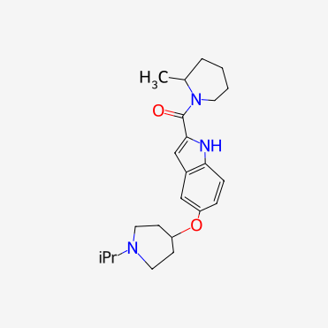 CC(C)N1CCC(Oc2ccc3[nH]c(C(=O)N4CCCCC4C)cc3c2)CC1